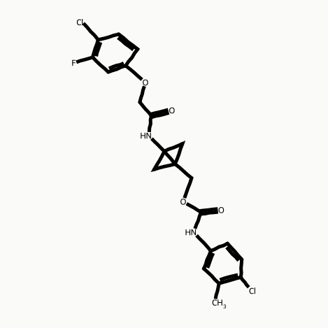 Cc1cc(NC(=O)OCC23CC2(NC(=O)COc2ccc(Cl)c(F)c2)C3)ccc1Cl